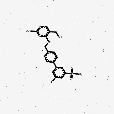 CSc1ncc(CO)c(NCc2ccc(-c3cc(F)cc(S(N)(=O)=O)c3)cc2)n1